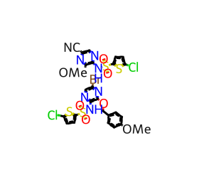 COc1ccc(COc2nc(Br)cnc2NS(=O)(=O)c2ccc(Cl)s2)cc1.COc1nc(C#N)cnc1NS(=O)(=O)c1ccc(Cl)s1